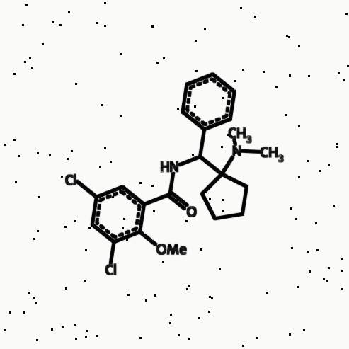 COc1c(Cl)cc(Cl)cc1C(=O)NC(c1ccccc1)C1(N(C)C)CCCC1